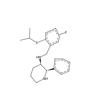 CC(C)Sc1ccc(F)cc1CN[C@@H]1CCCN[C@@H]1c1ccccc1